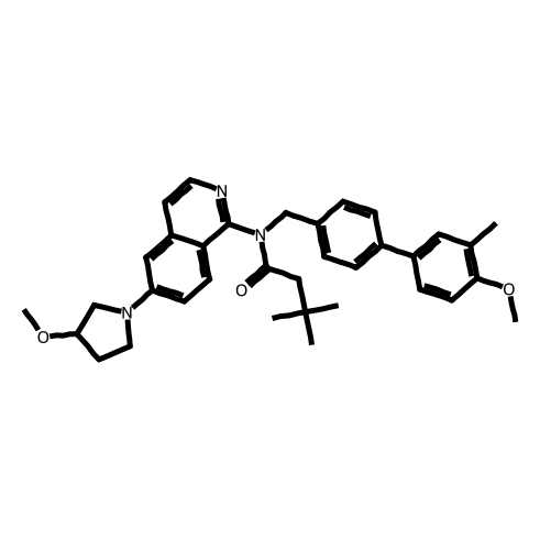 COc1ccc(-c2ccc(CN(C(=O)CC(C)(C)C)c3nccc4cc(N5CCC(OC)C5)ccc34)cc2)cc1C